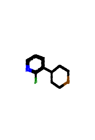 Fc1ncccc1C1CCSCC1